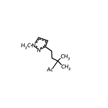 CC(=O)C(C)(C)CCc1ccn(C)n1